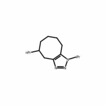 CCCC1CCCCc2c(nnn2C(C)C)C1